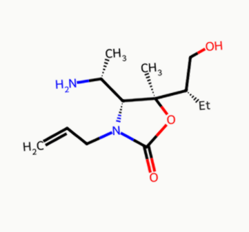 C=CCN1C(=O)O[C@](C)([C@@H](CC)CO)[C@H]1[C@@H](C)N